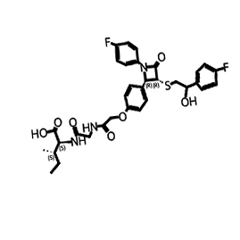 CC[C@H](C)[C@H](NC(=O)CNC(=O)COc1ccc([C@@H]2[C@@H](SCC(O)c3ccc(F)cc3)C(=O)N2c2ccc(F)cc2)cc1)C(=O)O